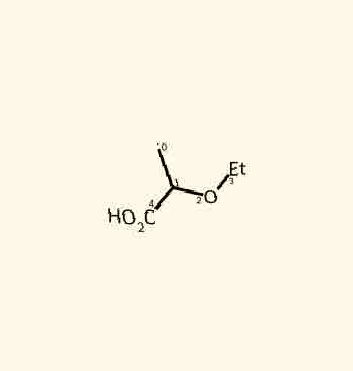 [CH2]C(OCC)C(=O)O